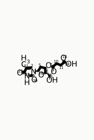 Cc1cn([C@H]2C[C@@H](OC(=O)CCC(=O)O)[C@@H](CO)O2)c(=O)[nH]c1=O